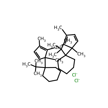 CC1=[C]([Zr+2][C]2=C(C)C=CC2(C)C2(C(C)(C)C)CCCCC2)C(C)(C2(C(C)(C)C)CCCCC2)C=C1.[Cl-].[Cl-]